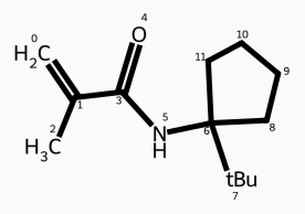 C=C(C)C(=O)NC1(C(C)(C)C)CCCC1